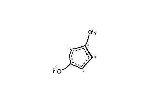 Oc1ccc(O)s1